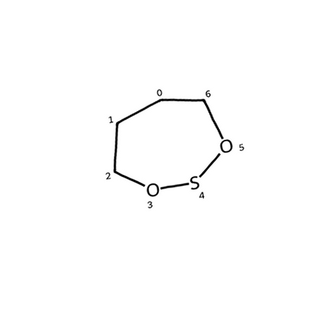 C1CCOSOC1